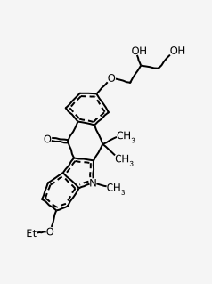 CCOc1ccc2c3c(n(C)c2c1)C(C)(C)c1cc(OCC(O)CO)ccc1C3=O